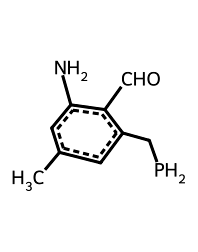 Cc1cc(N)c(C=O)c(CP)c1